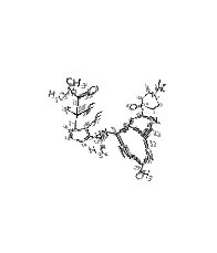 CC(=O)N1CCP(=O)(c2cc3c(N[C@H](C)c4cccc(C(F)(F)C(=O)N(C)C)c4F)nc(C)nc3cn2)CC1